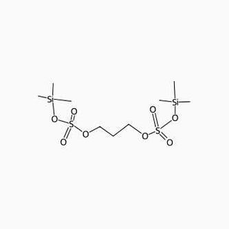 C[Si](C)(C)OS(=O)(=O)OCCCOS(=O)(=O)O[Si](C)(C)C